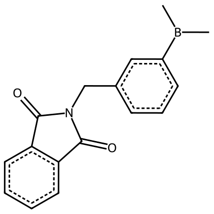 CB(C)c1cccc(CN2C(=O)c3ccccc3C2=O)c1